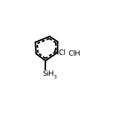 Cl.Cl.[SiH3]c1ccccc1